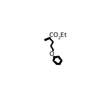 C=C(CCCOc1ccccc1)C(=O)OCC